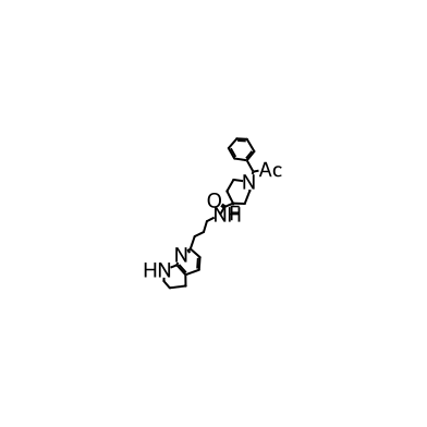 CC(=O)C(c1ccccc1)N1CCC(F)(C(=O)NCCCc2ccc3c(n2)NCCC3)CC1